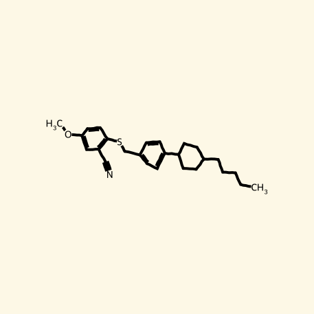 CCCCCC1CCC(c2ccc(CSc3ccc(OC)cc3C#N)cc2)CC1